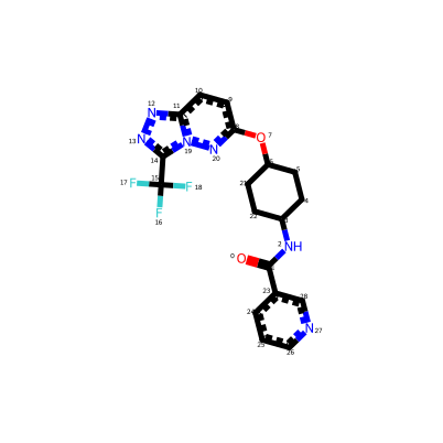 O=C(NC1CCC(Oc2ccc3nnc(C(F)(F)F)n3n2)CC1)c1cccnc1